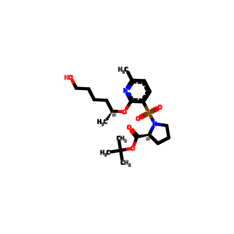 Cc1ccc(S(=O)(=O)N2CCC[C@H]2C(=O)OC(C)(C)C)c(O[C@H](C)CCCCO)n1